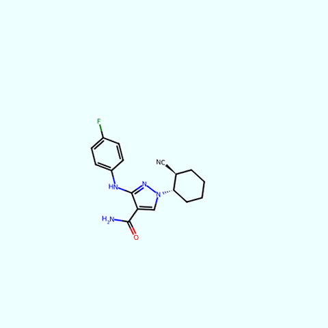 N#C[C@H]1CCCC[C@@H]1n1cc(C(N)=O)c(Nc2ccc(F)cc2)n1